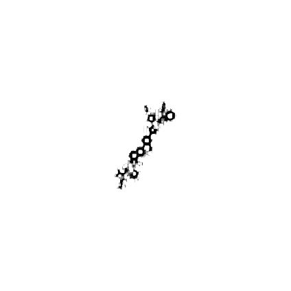 COC[C@H]1C[C@@H](c2ncc(-c3ccc4c(c3)COc3cc5c(ccc6nc([C@@H]7C[C@H](C)CN7C(=O)[C@@H](NC(=O)OC)C(C)C)[nH]c65)cc3-4)[nH]2)N(C(=O)[C@H](NC(=O)OC)C2(C)C=CC=CC2)C1